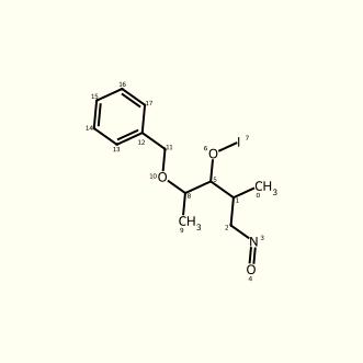 CC(CN=O)C(OI)C(C)OCc1ccccc1